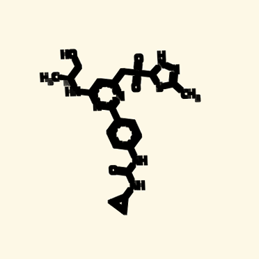 CC1=NNC(S(=O)(=O)Cc2cc(N[C@@H](C)CO)nc(-c3ccc(NC(=O)NC4CC4)cc3)n2)S1